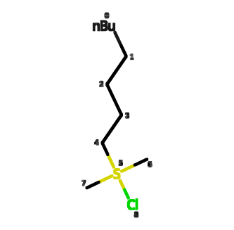 CCCCCCCCS(C)(C)Cl